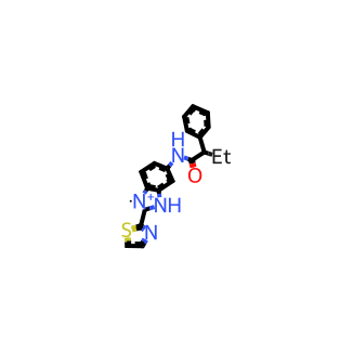 CCC(C(=O)Nc1ccc2c(c1)NC(c1nccs1)=[N+]2)c1ccccc1